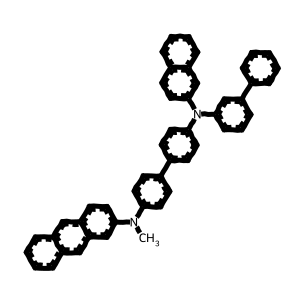 CN(c1ccc(-c2ccc(N(c3cccc(-c4ccccc4)c3)c3ccc4ccccc4c3)cc2)cc1)c1ccc2cc3ccccc3cc2c1